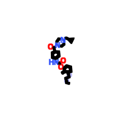 C=c1c(OC(=O)Nc2ccc(C(=O)N3CCN(CC4CC4)CC3)cc2)ccc/c1=C/C=C\C